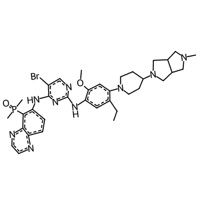 CCc1cc(Nc2ncc(Br)c(Nc3ccc4nccnc4c3P(C)(C)=O)n2)c(OC)cc1N1CCC(N2CC3CN(C)CC3C2)CC1